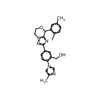 Cc1ccc(F)c(C2OCCn3nc(-c4ccc(-n5cnc(C)c5)c(CO)c4)nc32)c1